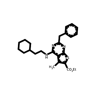 CCOC(=O)c1sc2nc(Cc3ccccc3)nc(NCCC3CCCCC3)c2c1C